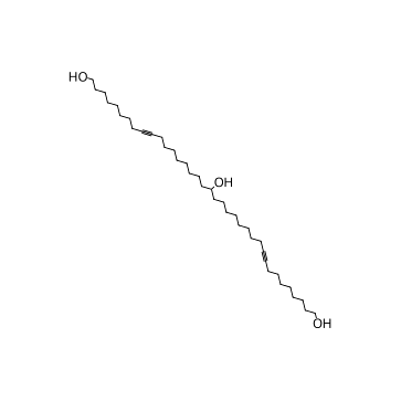 OCCCCCCCCC#CCCCCCCCCC(O)CCCCCCCCC#CCCCCCCCCO